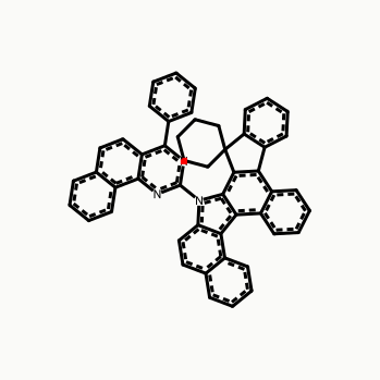 c1ccc(-c2nc(-n3c4ccc5ccccc5c4c4c5ccccc5c5c(c43)C3(CCCCC3)c3ccccc3-5)nc3c2ccc2ccccc23)cc1